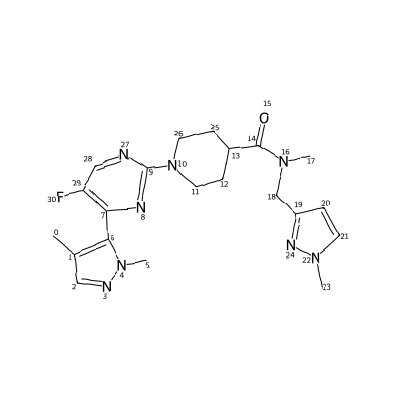 Cc1cnn(C)c1-c1nc(N2CCC(C(=O)N(C)Cc3ccn(C)n3)CC2)ncc1F